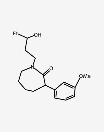 CCC(O)CCN1CCCCC(c2cccc(OC)c2)C1=O